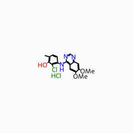 COc1cc2ncnc(Nc3ccc(C)c(O)c3Cl)c2cc1OC.Cl